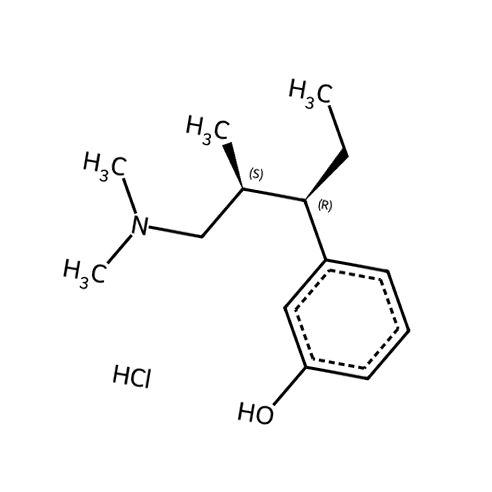 CC[C@@H](c1cccc(O)c1)[C@H](C)CN(C)C.Cl